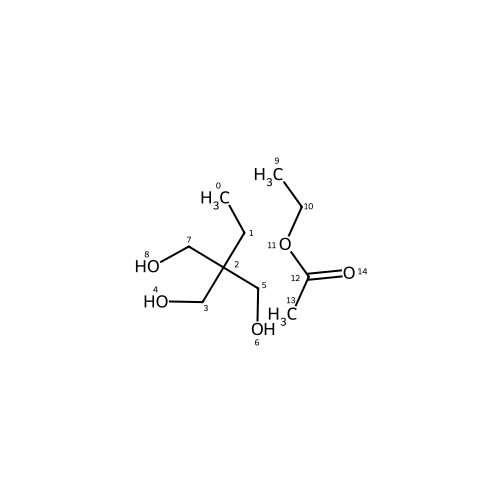 CCC(CO)(CO)CO.CCOC(C)=O